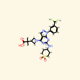 CC(C)(C(=O)O)C1CN(c2nc(NC3CCS(=O)(=O)CC3)nc3c2cnn3-c2cccc(C(F)F)c2)C1